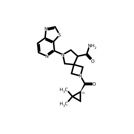 CC1(C)C[C@@H]1C(=O)N1CC2(C1)CN(c1nccc3ncsc13)CC2C(N)=O